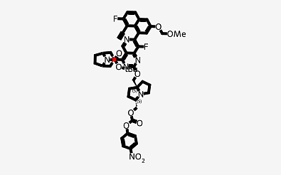 C#Cc1c(F)ccc2cc(OCOC)cc(-c3ncc4c(N5CC6CCC(C5)N6C(=O)OC(C)(C)C)nc(OC[C@@]56CCCN5[C@H](COC(=O)Oc5ccc([N+](=O)[O-])cc5)CC6)nc4c3F)c12